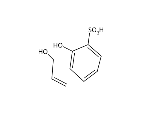 C=CCO.O=S(=O)(O)c1ccccc1O